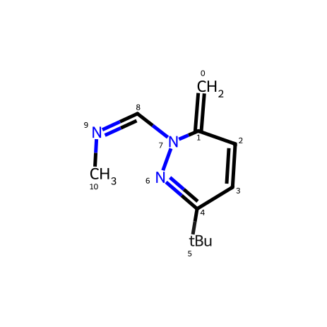 C=C1C=CC(C(C)(C)C)=NN1/C=N\C